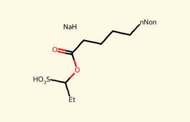 CCCCCCCCCCCCCC(=O)OC(CC)S(=O)(=O)O.[NaH]